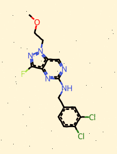 COCCn1nc(F)c2nc(NCc3ccc(Cl)c(Cl)c3)ncc21